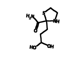 NC(=O)C1(CCC(O)O)NCCS1